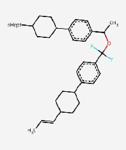 C/C=C/C1CCC(c2ccc(C(F)(F)OC(C)c3ccc(C4CCC(CCCCCCC)CC4)cc3)cc2)CC1